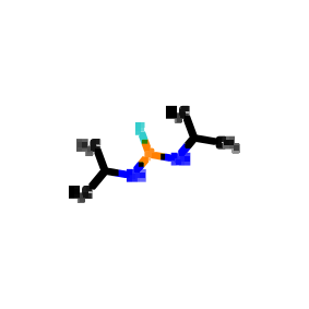 CC(C)NP(F)NC(C)C